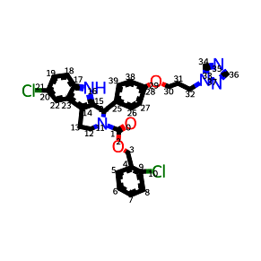 O=C(OCc1ccccc1Cl)N1CCc2c([nH]c3ccc(Cl)cc23)C1c1ccc(OCCCn2cncn2)cc1